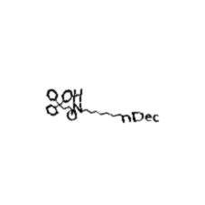 CCCCCCCCCCCCCCCCCCNC(=O)C=CC(c1ccccc1)(c1ccccc1)c1ccccc1